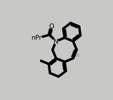 CCCC(=O)N1CC2=C(C)CCC=C2/C=C\c2ccccc21